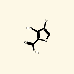 CC(=O)c1occ(Br)c1N